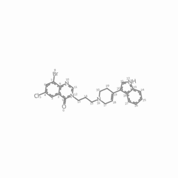 O=c1c2cc(Cl)cc(Br)c2ncn1CCCN1CC=C(c2c[nH]c3ccccc23)CC1